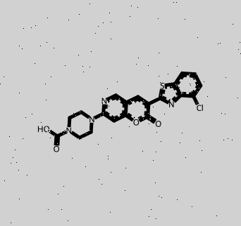 O=C(O)N1CCN(c2cc3oc(=O)c(-c4nc5c(Cl)cccc5s4)cc3cn2)CC1